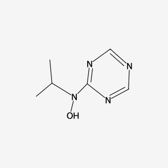 CC(C)N(O)c1ncncn1